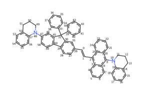 C(=C\c1c2ccccc2c(N2CCCc3ccccc32)c2ccccc12)/c1ccc2c(c1)C(c1ccccc1)(c1ccccc1)c1cc(N3CCCc4ccccc43)ccc1-2